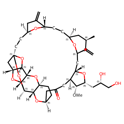 C=C1C[C@@H]2CC[C@@]34C[C@H]5O[C@H]6[C@@H](O3)[C@H]3O[C@H](CC[C@@H]3O[C@H]6[C@H]5O4)CC(=O)C[C@@H]3[C@@H](OC)[C@@H](C[C@H](O)CO)O[C@H]3C[C@H]3O[C@@H](CC[C@@H]1O2)C[C@@H](C)C3=C